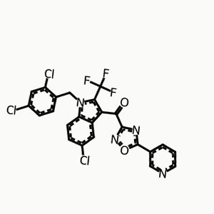 O=C(c1noc(-c2cccnc2)n1)c1c(C(F)(F)F)n(Cc2ccc(Cl)cc2Cl)c2ccc(Cl)cc12